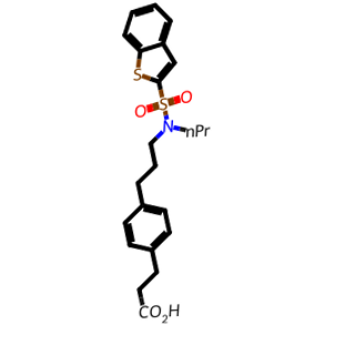 CCCN(CCCc1ccc(CCC(=O)O)cc1)S(=O)(=O)c1cc2ccccc2s1